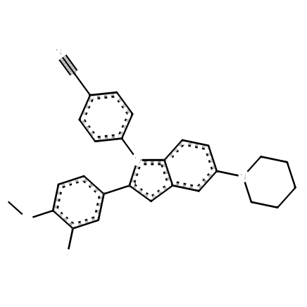 COc1ccc(-c2cc3cc(N4CC[CH]CC4)ccc3n2-c2ccc(C#N)cc2)cc1F